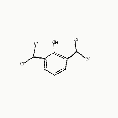 CCC(Cl)c1cccc(C(Cl)CC)c1O